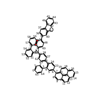 c1ccc(-c2cc(-c3ccc4ccc5cccc6ccc3c4c56)ccc2-c2ccc(N(c3ccc(-c4ccc5c(c4)oc4ccccc45)cc3)c3ccccc3-c3ccccc3)cc2)cc1